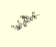 CCCCC(=O)Nc1cncc(-c2ccc3[nH]nc(-c4cc5c(-c6cc(F)cc(C(N)S(C)(=O)=O)c6)cncc5[nH]4)c3n2)c1